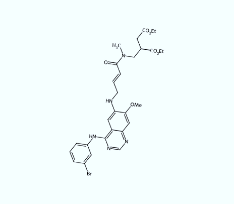 CCOC(=O)CC(CN(C)C(=O)C=CCNc1cc2c(Nc3cccc(Br)c3)ncnc2cc1OC)C(=O)OCC